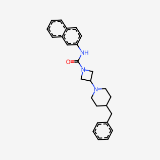 O=C(Nc1ccc2ccccc2c1)N1CC(N2CCC(Cc3ccccc3)CC2)C1